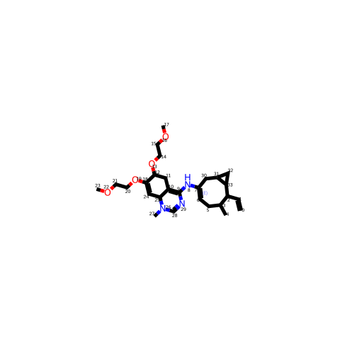 C=CC1C(C)C/C=C(/NC2=C3CC(OCCOC)C(OCCOC)=CC3N(C)C=N2)CC2CC21